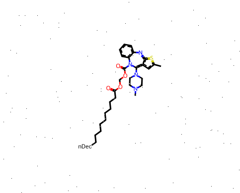 CCCCCCCCCCCCCCCCCCCC(=O)OCOC(=O)N1C(N2CCN(C)CC2)=c2cc(C)sc2=Nc2ccccc21